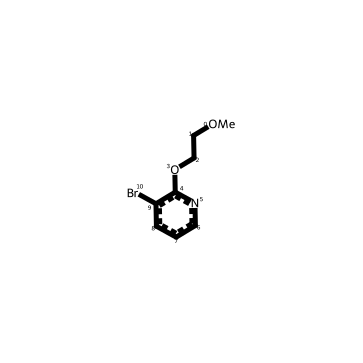 COCCOc1ncccc1Br